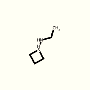 CCN[SH]1CCC1